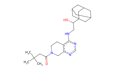 CC(C)(C)CC(=O)N1CCc2c(ncnc2NCC(O)C23CC4CC(CC(C4)C2)C3)C1